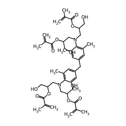 C=C(C)C(=O)OC(CO)CN(CC(CO)OC(=O)C(=C)C)c1c(C)cc(Cc2cc(C)c(N(CC(CO)OC(=O)C(=C)C)CC(CO)OC(=O)C(=C)C)c(C)c2)cc1C